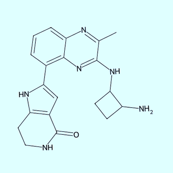 Cc1nc2cccc(-c3cc4c([nH]3)CCNC4=O)c2nc1NC1CCC1N